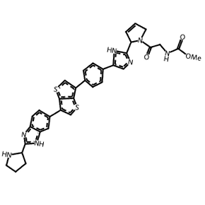 COC(=O)NCC(=O)N1CC=CC1c1ncc(-c2ccc(-c3csc4c(-c5ccc6nc(C7CCCN7)[nH]c6c5)csc34)cc2)[nH]1